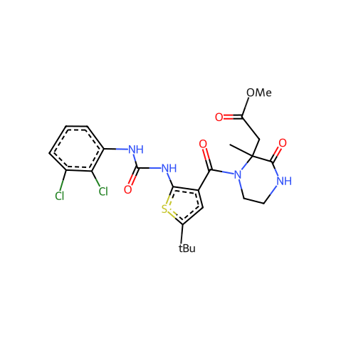 COC(=O)CC1(C)C(=O)NCCN1C(=O)c1cc(C(C)(C)C)sc1NC(=O)Nc1cccc(Cl)c1Cl